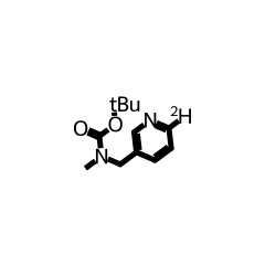 [2H]c1ccc(CN(C)C(=O)OC(C)(C)C)cn1